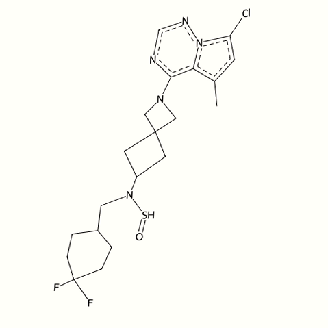 Cc1cc(Cl)n2ncnc(N3CC4(CC(N(CC5CCC(F)(F)CC5)[SH]=O)C4)C3)c12